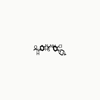 CC(=O)Nc1ccc(NC(=S)Nc2ccc(N3CCN(C)CC3)c(Cl)c2)cc1